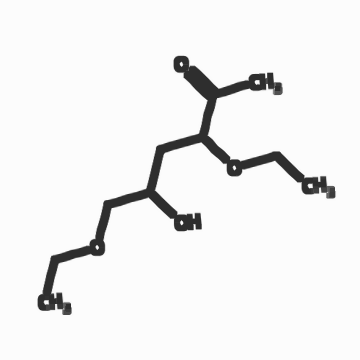 CCOCC(O)CC(OCC)C(C)=O